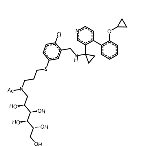 CC(=O)N(CCCSc1ccc(Cl)c(CNC2(c3cnccc3-c3ccccc3OC3CC3)CC2)c1)C[C@H](O)[C@@H](O)[C@H](O)[C@H](O)CO